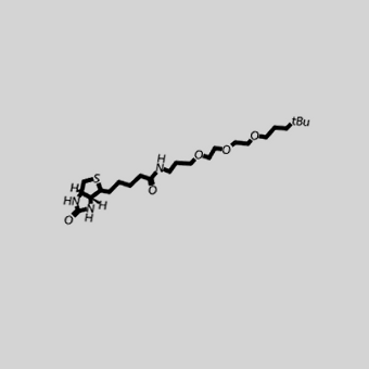 CC(C)(C)CCCOCCOCCOCCCNC(=O)CCCCC1SC[C@H]2NC(=O)N[C@@H]12